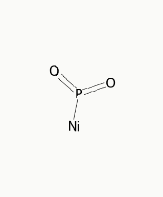 O=[P](=O)[Ni]